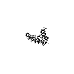 C=CC1C[C@]1(NC(=O)[C@@H]1C[C@@H](Oc2cc(-c3ccccc3)nc3cc(OC)ccc23)CN1C(=O)[C@@H](NC(=O)OC(C)(C)C)C(C)CO)C(=O)NS(=O)(=O)c1ccccc1